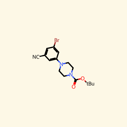 CC(C)(C)OC(=O)N1CCN(c2cc(Br)cc(C#N)c2)CC1